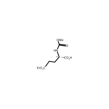 CCOC(=O)CC[C@H](NC(=O)OC)C(=O)O